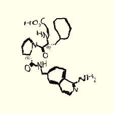 Nc1nccc2cc(CNC(=O)[C@@H]3CCCN3C(=O)[C@@H](CC3CCCCC3)NCC(=O)O)ccc12